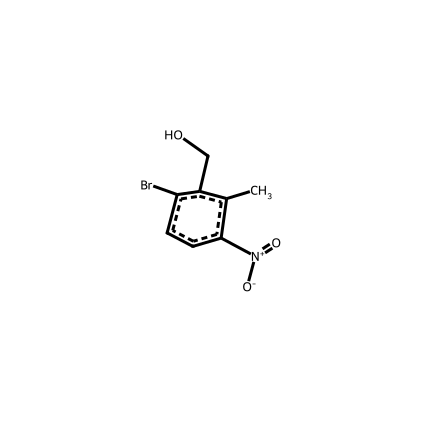 Cc1c([N+](=O)[O-])ccc(Br)c1CO